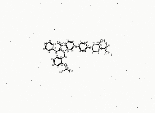 CC(=O)N1CCN(c2ncc(-c3ccc4c(=O)n(Cc5ccncc5)n(Cc5ccccc5OC(F)F)c4c3)cn2)C[C@H]1C